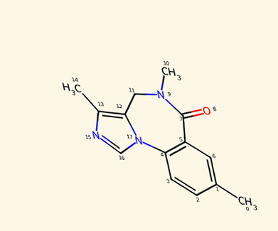 Cc1ccc2c(c1)C(=O)N(C)Cc1c(C)ncn1-2